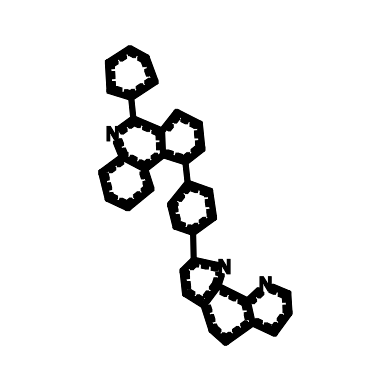 c1ccc(-c2nc3ccccc3c3c(-c4ccc(-c5ccc6ccc7cccnc7c6n5)cc4)cccc23)cc1